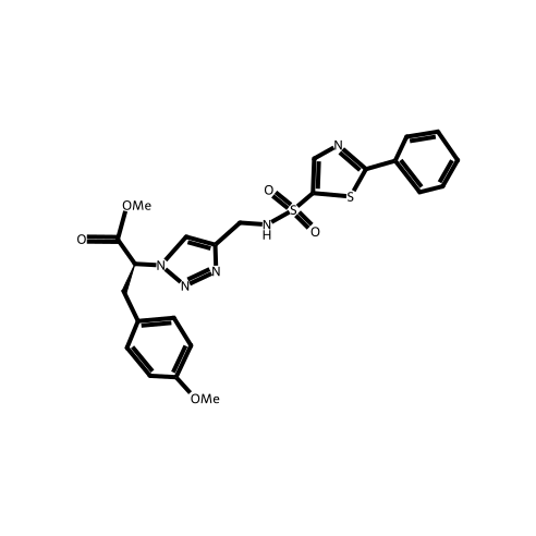 COC(=O)[C@H](Cc1ccc(OC)cc1)n1cc(CNS(=O)(=O)c2cnc(-c3ccccc3)s2)nn1